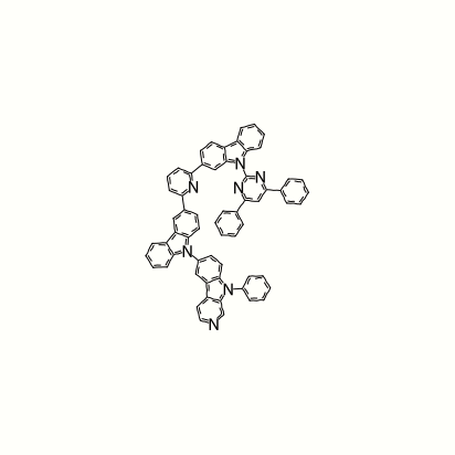 c1ccc(-c2cc(-c3ccccc3)nc(-n3c4ccccc4c4ccc(-c5cccc(-c6ccc7c(c6)c6ccccc6n7-c6ccc7c(c6)c6ccncc6n7-c6ccccc6)n5)cc43)n2)cc1